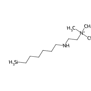 C[N+](C)(C)CCNCCCCCC[SiH3]